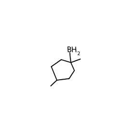 BC1(C)CCC(C)CC1